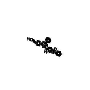 O=C(Nc1ccccc1)c1ccc(Nc2nc(-c3ccccc3)nc(N3CCN(CCO)CC3)n2)nc1